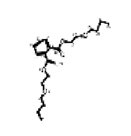 CCCCOCCOC(=O)c1ccccc1C(=O)OCCOCCCC